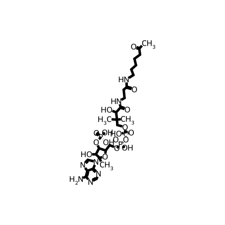 CC(=O)CCCCCNC(=O)CCNC(=O)C(O)C(C)(C)COP(=O)(O)OP(=O)(O)OCC1OC(C)(n2cnc3c(N)ncnc32)C(O)C1OP(=O)(O)O